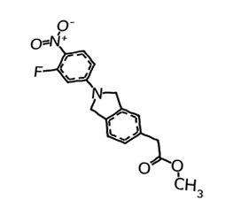 COC(=O)Cc1ccc2c(c1)CN(c1ccc([N+](=O)[O-])c(F)c1)C2